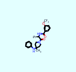 CC(C)C(NC(=O)c1cccc(OC(F)(F)F)c1)C(=O)N1CCC(C)(Nc2ccccc2)CC1